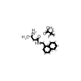 C[C@H](N)CC(=O)NCc1cccc2ccccc12.O=C(O)C(F)(F)F